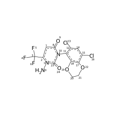 Nn1c(C(F)(F)F)cc(=O)n(-c2c(Cl)cc(Cl)c3c2OCCO3)c1=O